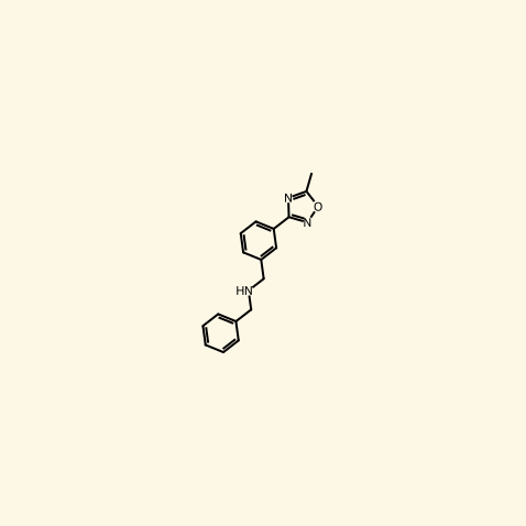 Cc1nc(-c2cccc(CNCc3ccccc3)c2)no1